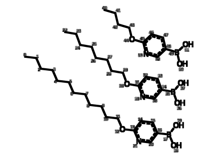 CCCCCCCCCCCCOc1ccc(B(O)O)cn1.CCCCCCCCOc1ccc(B(O)O)cn1.CCCCOc1ccc(B(O)O)cn1